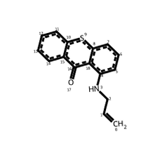 C=CCNc1cccc2sc3ccccc3c(=O)c12